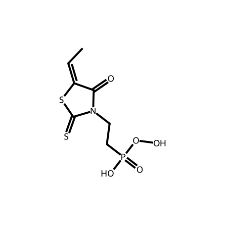 C/C=C1/SC(=S)N(CCP(=O)(O)OO)C1=O